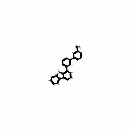 Bc1cccc(-c2cccc(-c3cccc4c3sc3ccccc34)c2)c1